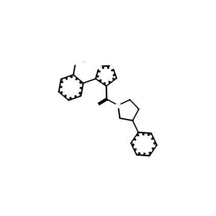 COc1ccccc1-c1oncc1C(=O)N1CCC(c2ccccc2)C1